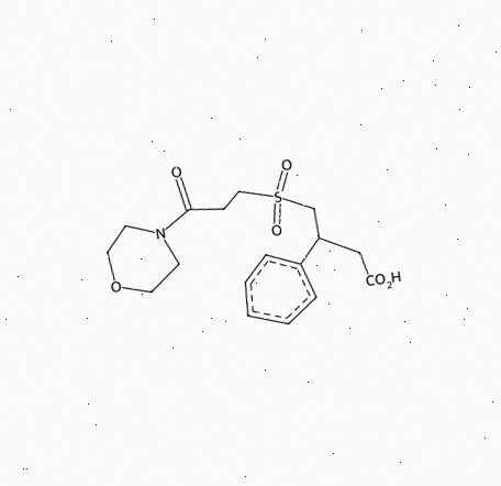 O=C(O)CC(CS(=O)(=O)CCC(=O)N1CCOCC1)c1ccccc1